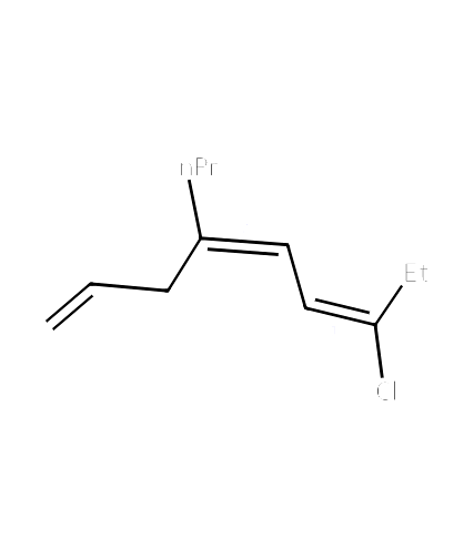 C=CC/C(=C\C=C(\Cl)CC)CCC